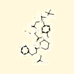 COC[C@H](NC(=O)[C@H](C)NC(=O)OC(C)(C)C)C(=O)N[C@@]1(Cc2ccc(Cl)cc2)CCCN(C(=O)[C@@H](CC(=O)O)Cc2ccccc2)C1